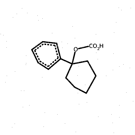 O=C(O)OC1(c2ccccc2)CCCCC1